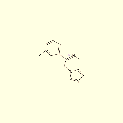 C/N=C(\Cn1ccnc1)c1cccc(C)c1